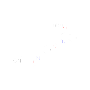 CCCCOc1c(C)c(COc2ccc3c(c2)CCN(C(=O)CCC(C)(C)N=O)C3)nc2ccccc12